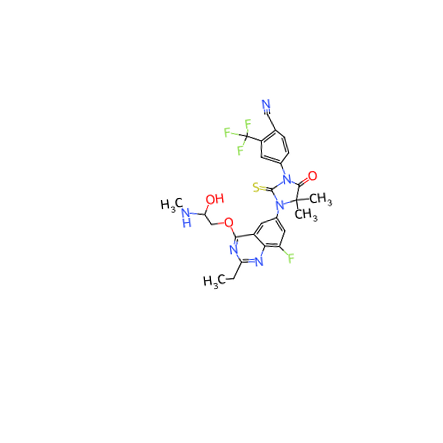 CCc1nc(OCC(O)NC)c2cc(N3C(=S)N(c4ccc(C#N)c(C(F)(F)F)c4)C(=O)C3(C)C)cc(F)c2n1